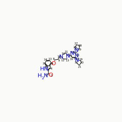 NC(=O)c1cc2c(OCCCN3CCN(c4cc(N5CCCC5)nc(N5CCCC5)n4)CC3)cccc2[nH]1